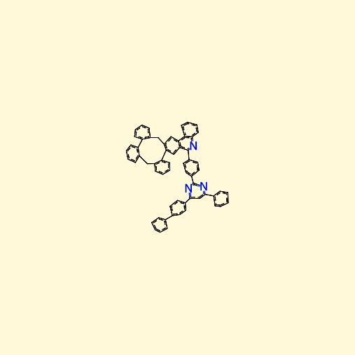 c1ccc(-c2ccc(-c3cc(-c4ccccc4)nc(-c4ccc(-c5nc6ccccc6c6cc7c(cc56)-c5ccccc5Cc5ccccc5-c5ccccc5C7)cc4)n3)cc2)cc1